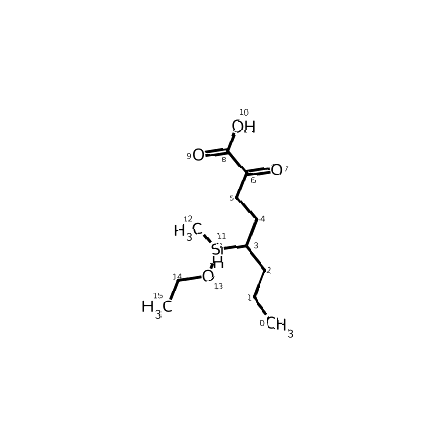 CCCC(CCC(=O)C(=O)O)[SiH](C)OCC